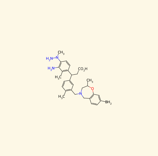 Bc1ccc2c(c1)OC(C)CN(Cc1cc(C(CC(=O)O)c3ccc(N(C)N)c(N)c3C)ccc1C)C2